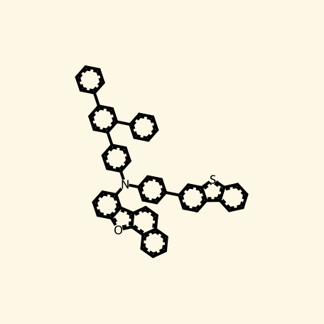 c1ccc(-c2ccc(-c3ccc(N(c4ccc(-c5ccc6c(c5)sc5ccccc56)cc4)c4cccc5oc6c7ccccc7ccc6c45)cc3)c(-c3ccccc3)c2)cc1